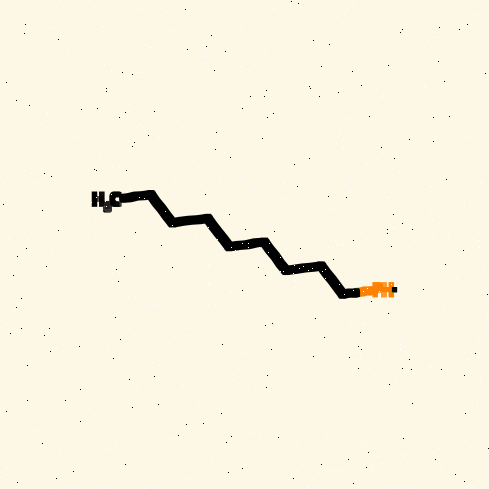 CCCCCCCCC[PH]